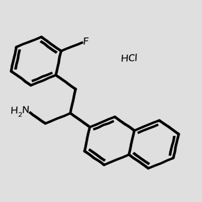 Cl.NCC(Cc1ccccc1F)c1ccc2ccccc2c1